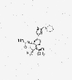 CC(=O)N1c2ccc(-c3csc(CN4CCCCC4)n3)cc2C(NC(=O)O)CC1C